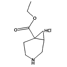 CCOC(=O)C12CCNCC1C2.Cl